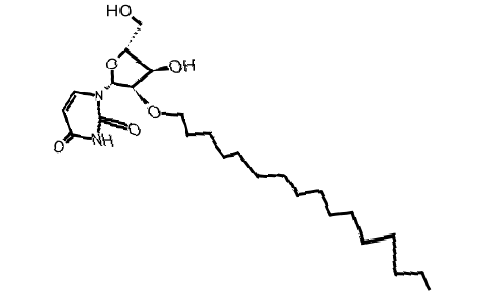 CCCCCCCCCCCCCCCCO[C@@H]1[C@H](O)[C@@H](CO)O[C@H]1n1ccc(=O)[nH]c1=O